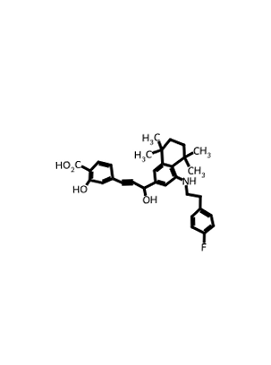 CC1(C)CCC(C)(C)c2c(NCCc3ccc(F)cc3)cc(C(O)C#Cc3ccc(C(=O)O)c(O)c3)cc21